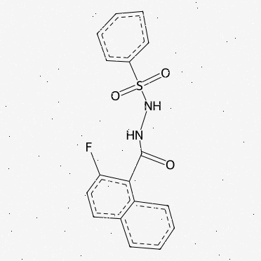 O=C(NNS(=O)(=O)c1ccccc1)c1c(F)ccc2ccccc12